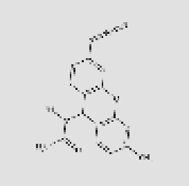 [3H]N(C(C)=O)C1c2ccc(C)cc2Oc2cc(N=[N+]=[N-])ccc21